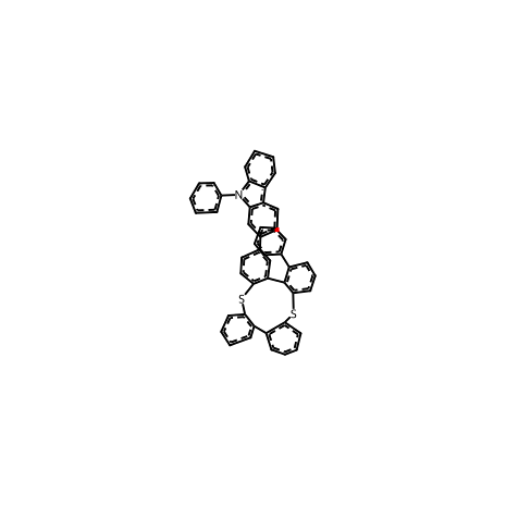 c1ccc(-c2cccc3c2-c2cc(-c4ccc5c6ccccc6n(-c6ccccc6)c5c4)ccc2Sc2ccccc2-c2ccccc2S3)cc1